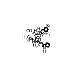 C[S+]([O-])CC[C@H](NC(=O)[C@H](N)Cc1c[nH]c2ccccc12)C(=O)N[C@@H](CC(=O)O)C(=O)N[C@@H](Cc1cccc(Br)c1)C(N)=O